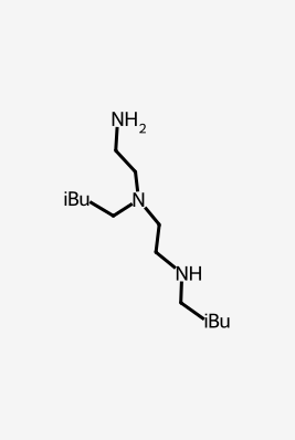 CCC(C)CNCCN(CCN)CC(C)CC